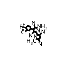 Cc1nc(-c2nc(N)c(C#N)c(-c3ccc(C(F)(F)F)c(Cl)c3)c2C#N)c(C#N)cc1C#N